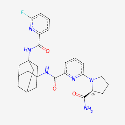 NC(=O)[C@@H]1CCCN1c1cccc(C(=O)NC23CC4CC(CC(NC(=O)c5cccc(F)n5)(C4)C2)C3)n1